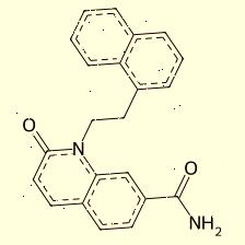 NC(=O)c1ccc2ccc(=O)n(CCc3cccc4ccccc34)c2c1